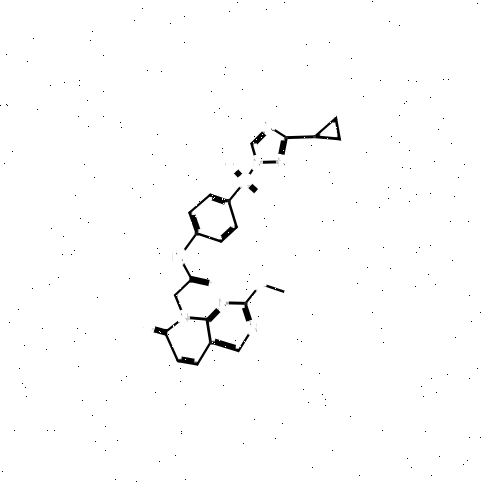 CSc1ncc2ccc(=O)n(CC(=O)Nc3ccc(S(=O)(=O)n4cnc(C5CC5)n4)cc3)c2n1